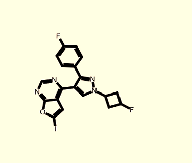 Fc1ccc(-c2nn(C3CC(F)C3)cc2-c2ncnc3oc(I)cc23)cc1